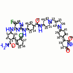 NC(=O)c1ccc(Nc2nc(Nc3ccc(C(=O)NC4CCN(CC5CCN(c6ccc(C7CCC(=O)NC7=O)cc6)C5)CC4)cc3)ncc2F)cc1-c1ccccc1Cl